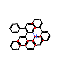 c1ccc(-c2cccc(N(c3ccccc3-c3ccccc3)c3cccc(-c4ccccc4)c3-c3ccccc3-c3ccccc3)c2)cc1